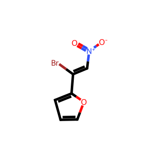 O=[N+]([O-])/C=C(\Br)c1ccco1